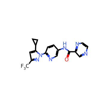 O=C(Nc1ccc(-n2nc(C(F)(F)F)cc2C2CC2)nc1)c1cnccn1